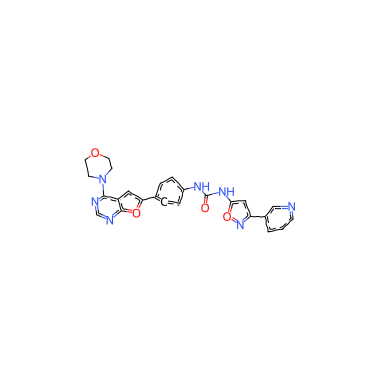 O=C(Nc1ccc(-c2cc3c(N4CCOCC4)ncnc3o2)cc1)Nc1cc(-c2cccnc2)no1